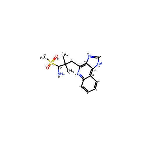 CC(C)(Cc1nc2ccccc2c2[nH][c]nc12)C(N)S(C)(=O)=O